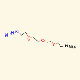 CNCCOCCOCCOCCN=[N+]=[N-]